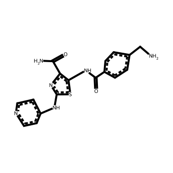 NCc1ccc(C(=O)Nc2sc(Nc3ccncc3)nc2C(N)=O)cc1